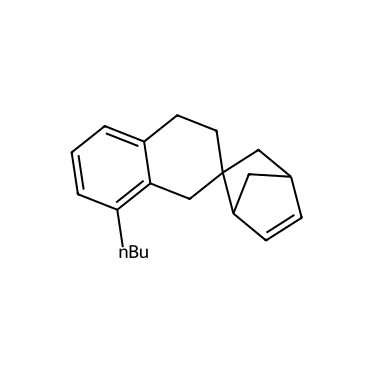 CCCCc1cccc2c1CC1(CC2)CC2C=CC1C2